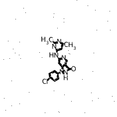 Cc1cc(Nc2cc3c(cn2)c(=O)[nH]n3-c2ccc(Cl)cc2)nc(C)n1